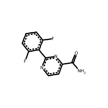 NC(=O)c1ccnc(-c2c(F)cccc2F)n1